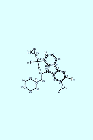 COc1cc2c(cc1F)c1ccnc(C(F)(F)F)c1n2CCN1CCOCC1.Cl